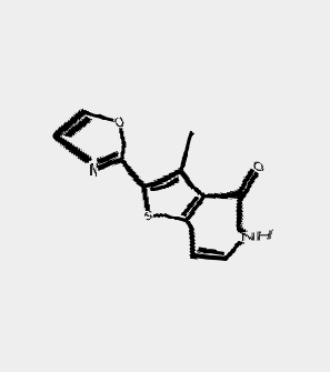 Cc1c(-c2ncco2)sc2cc[nH]c(=O)c12